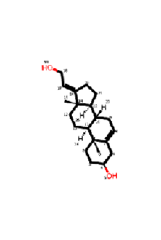 C[C@]12CC[C@H](O)CC1=CC[C@@H]1[C@@H]2CC[C@]2(C)/C(=C/CO)CC[C@@H]12